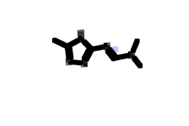 Cc1nnc(/N=C/N(C)C)[nH]1